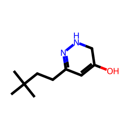 CC(C)(C)CCC1=NNCC(O)=C1